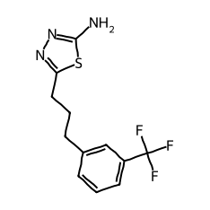 Nc1nnc(CCCc2cccc(C(F)(F)F)c2)s1